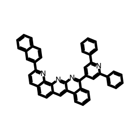 c1ccc(-c2cc(-c3nc4nc5c(ccc6ccc(-c7ccc8ccccc8c7)nc65)cc4c4ccccc34)cc(-c3ccccc3)n2)cc1